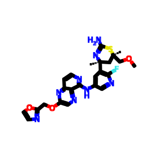 COC[C@@]1(C)C[C@@](C)(c2cc(Nc3nccc4nc(OCc5ncco5)cnc34)cnc2F)N=C(N)S1